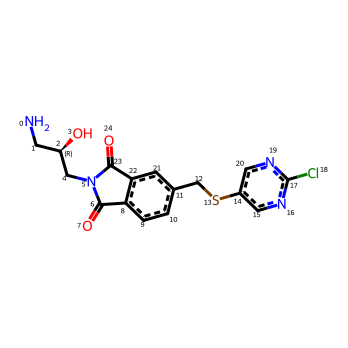 NC[C@@H](O)CN1C(=O)c2ccc(CSc3cnc(Cl)nc3)cc2C1=O